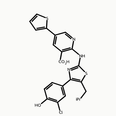 CC(C)Cc1sc(Nc2ncc(-c3cccs3)cc2C(=O)O)nc1-c1ccc(O)c(Cl)c1